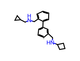 [c]1ccc(-c2ccccc2CNCC2CC2)cc1CNC1CCC1